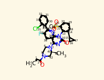 C=CC(=O)N1CCN(c2nc(=O)n(-c3c(C4CC4)cccc3S(C)(=O)=O)c3nc(-c4ccccc4Cl)c(F)cc23)[C@@H](C)C1